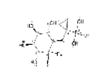 O=P(O)(O)C1(C[C@@H]2[C@@H](O)[C@H](O)[C@H](O)[C@@H](O)C2(F)F)CC1